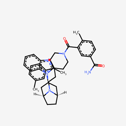 Cc1cccc(C2(CCN3[C@@H]4CC[C@H]3C[C@@H](n3c(C)nc5ccccc53)C4)CCN(C(=O)c3cc(C(N)=O)ccc3C)CC2)c1